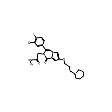 CC(C)NC(=O)Cn1c(-c2ccc(F)c(Cl)c2)cn2cc(OCCCN3CCCCC3)cc2c1=O